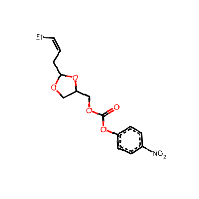 CC/C=C\CC1OCC(COC(=O)Oc2ccc([N+](=O)[O-])cc2)O1